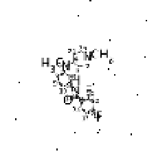 CN1CCC(N(C)c2cccc(NC(=O)c3ccc(F)cc3F)c2)CC1